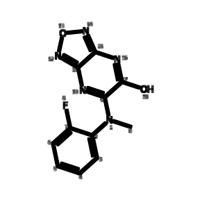 CN(c1ccccc1F)c1nc2nonc2nc1O